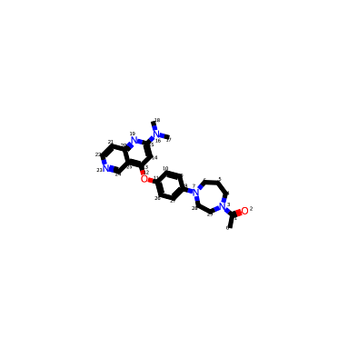 CC(=O)N1CCCN(c2ccc(Oc3cc(N(C)C)nc4ccncc34)cc2)CC1